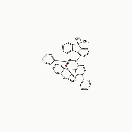 CC1(C)c2ccccc2-c2c(N3c4ccc(-c5ccccc5)cc4C4(c5ccccc5Oc5ccccc54)c4cc(-c5ccccc5)ccc43)cccc21